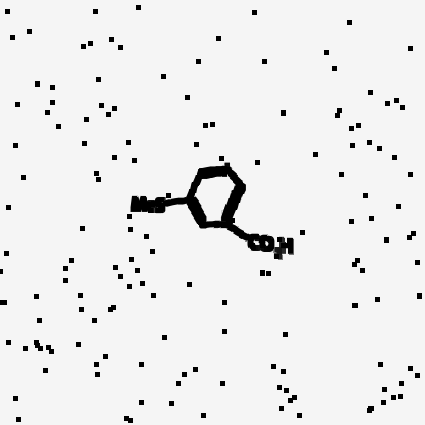 CSc1c[c]cc(C(=O)O)c1